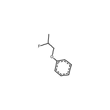 C[C](F)COc1ccccc1